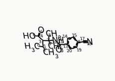 CC(C)C(C(=O)O)C(C)(C)NC(=O)c1ccc(C#N)cc1